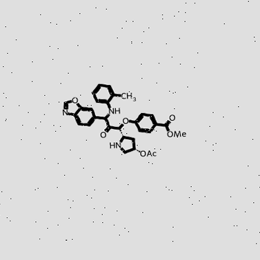 COC(=O)c1ccc(OC(C(=O)C(Nc2ccccc2C)c2ccc3ncoc3c2)[C@@H]2C[C@H](OC(C)=O)CN2)cc1